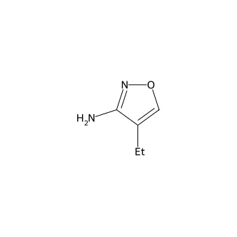 CCc1conc1N